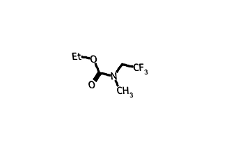 CCOC(=O)N(C)CC(F)(F)F